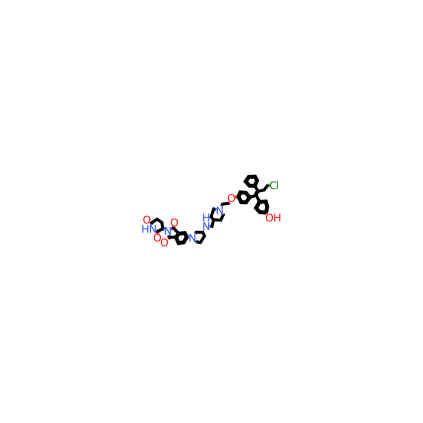 O=C1CCC(N2C(=O)c3ccc(N4CCC[C@@H](NCC5CCN(CCOc6ccc(C(=C(CCCl)c7ccccc7)c7ccc(O)cc7)cc6)CC5)C4)cc3C2=O)C(=O)N1